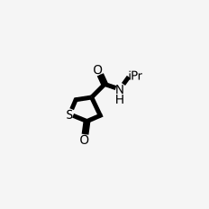 CC(C)NC(=O)C1CSC(=O)C1